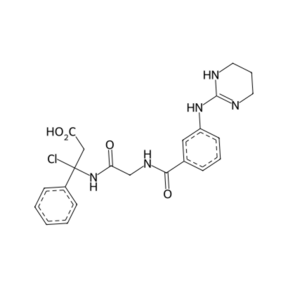 O=C(O)CC(Cl)(NC(=O)CNC(=O)c1cccc(NC2=NCCCN2)c1)c1ccccc1